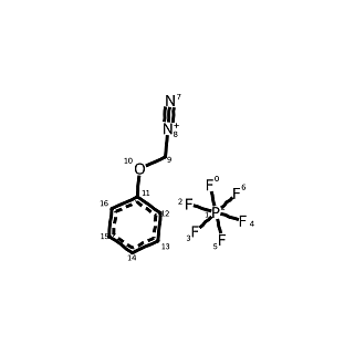 F[P-](F)(F)(F)(F)F.N#[N+]COc1ccccc1